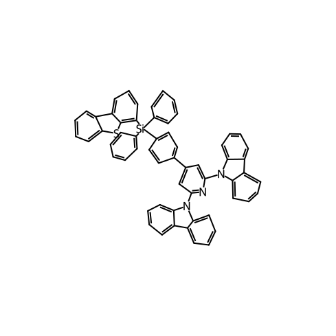 c1ccc([Si](c2ccccc2)(c2ccc(-c3cc(-n4c5ccccc5c5ccccc54)nc(-n4c5ccccc5c5ccccc54)c3)cc2)c2cccc3c2sc2ccccc23)cc1